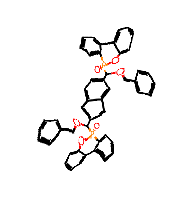 O=P1(C(OCc2ccccc2)c2ccc3cc(C(OCc4ccccc4)P4(=O)Oc5ccccc5-c5ccccc54)ccc3c2)Oc2ccccc2-c2ccccc21